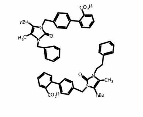 CCCCc1c(C)n(CCc2ccccc2)c(=O)n1Cc1ccc(-c2ccccc2C(=O)O)cc1.CCCCc1c(C)n(Cc2ccccc2)c(=O)n1Cc1ccc(-c2ccccc2C(=O)O)cc1